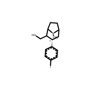 CN1C2CCC1C(CO)[C@@H](c1ccc(I)cc1)C2